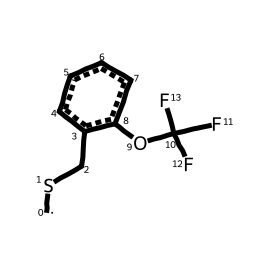 [CH2]SCc1ccccc1OC(F)(F)F